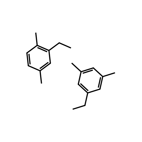 CCc1cc(C)cc(C)c1.CCc1cc(C)ccc1C